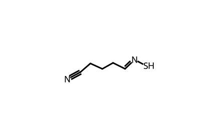 N#CCCCC=NS